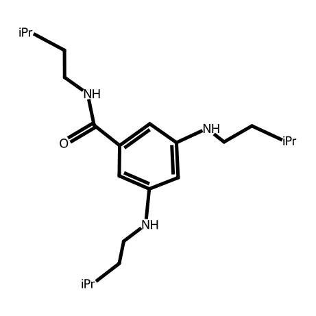 CC(C)CCNC(=O)c1cc(NCCC(C)C)cc(NCCC(C)C)c1